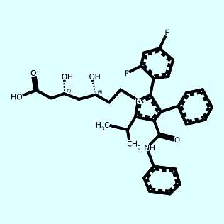 CC(C)c1c(C(=O)Nc2ccccc2)c(-c2ccccc2)c(-c2ccc(F)cc2F)n1CC[C@@H](O)C[C@@H](O)CC(=O)O